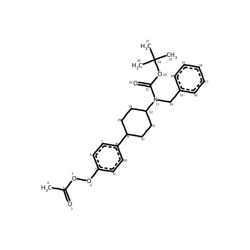 CC(=O)OOc1ccc(C2CCC(N(Cc3ccccc3)C(=O)OC(C)(C)C)CC2)cc1